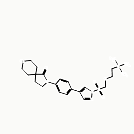 C[Si](C)(C)CCOCS(=O)(=O)n1cc(-c2ccc(N3CCC4(CCNCC4)C3=O)cc2)cn1